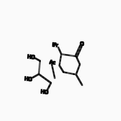 CC(C)=O.CC1CCC(C(C)C)C(=O)C1.OCC(O)CO